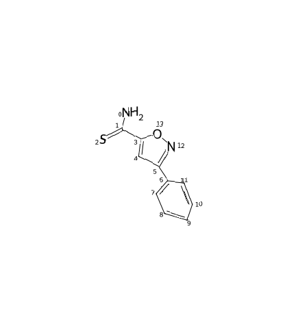 NC(=S)c1cc(-c2ccccc2)no1